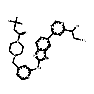 CCC(O)c1cc(-c2ccc3nc(Nc4cc(CN5CCN(C(=O)CC(F)(F)F)CC5)ccn4)[nH]c3c2)ncn1